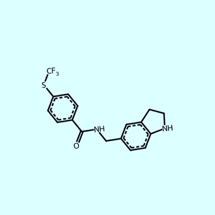 O=C(NCc1ccc2c(c1)CCN2)c1ccc(SC(F)(F)F)cc1